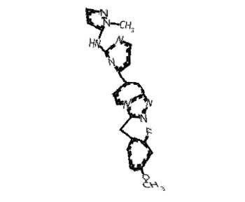 COc1ccc(Cc2nnc3cc(-c4ccnc(Nc5ccnn5C)n4)ccn23)c(F)c1